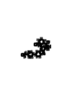 CP(C)(=O)c1ncc(-c2ccc3nc4n(c3c2)[C@@H]2C[C@H]4NC(=O)c3cccc(Cl)c32)cn1